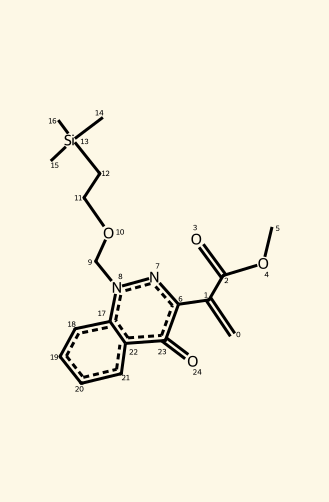 C=C(C(=O)OC)c1nn(COCC[Si](C)(C)C)c2ccccc2c1=O